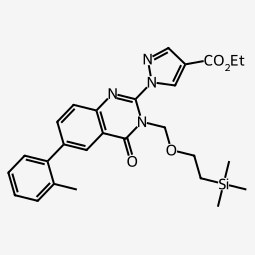 CCOC(=O)c1cnn(-c2nc3ccc(-c4ccccc4C)cc3c(=O)n2COCC[Si](C)(C)C)c1